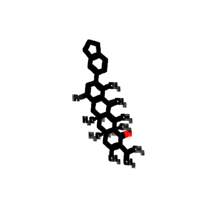 C=C(C)C1=C(C)C[C@@]2(C)C[C@@]3(C)Cc4c(C(C)C)cc(-c5ccc6c(c5)CCC6)c(C)c4C(=C)C3=C(C)[C@@]2(C)C1=O